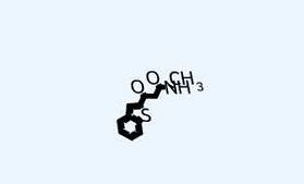 CNC(=O)CC(=O)c1cc2ccccc2s1